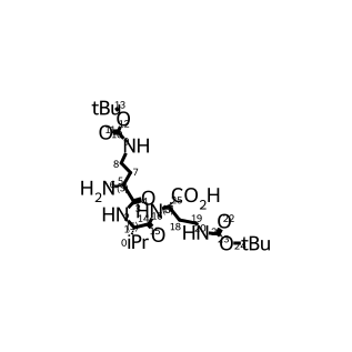 CC(C)[C@H](NC(=O)[C@@H](N)CCNC(=O)OC(C)(C)C)C(=O)N[C@@H](CCNC(=O)OC(C)(C)C)C(=O)O